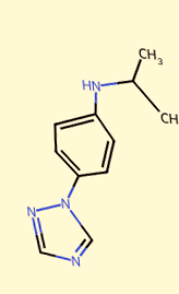 CC(C)Nc1ccc(-n2cncn2)cc1